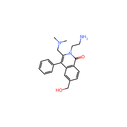 CN(C)Cc1c(-c2ccccc2)c2cc(CO)ccc2c(=O)n1CCN